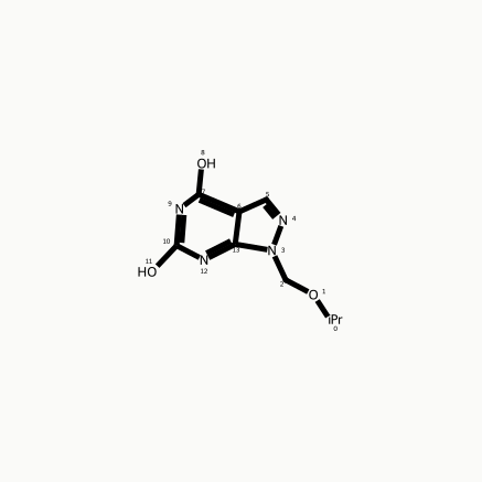 CC(C)OCn1ncc2c(O)nc(O)nc21